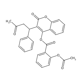 CC(=O)CC(c1ccccc1)c1c(OC(=O)c2ccccc2OC(C)=O)c2ccccc2oc1=O